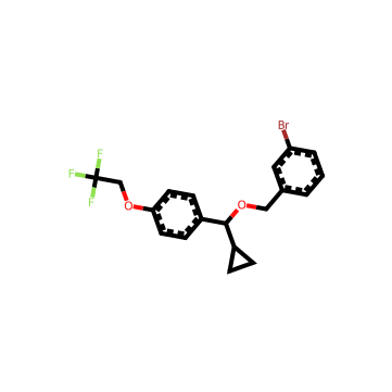 FC(F)(F)COc1ccc(C(OCc2cccc(Br)c2)C2CC2)cc1